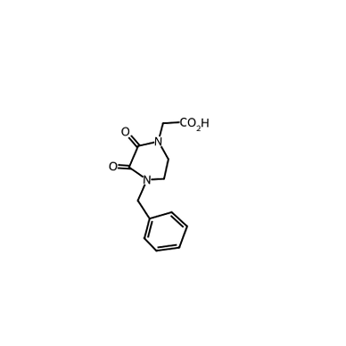 O=C(O)CN1CCN(Cc2ccccc2)C(=O)C1=O